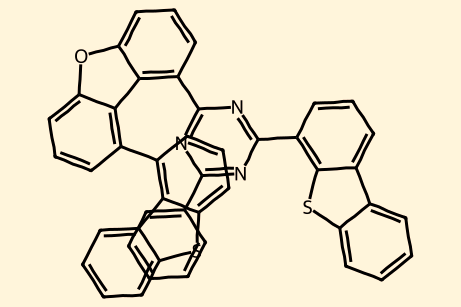 c1ccc(-c2nc(-c3cccc4c3sc3ccccc34)nc(-c3cccc4oc5cccc(-c6cccc7sc8ccccc8c67)c5c34)n2)cc1